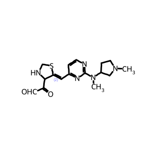 CN1CCC(N(C)c2nccc(/C=C3\SCNC3C(=O)C=O)n2)C1